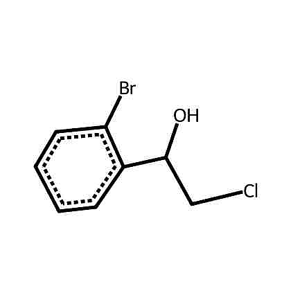 OC(CCl)c1ccccc1Br